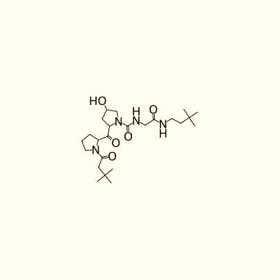 CC(C)(C)CCNC(=O)CNC(=O)N1CC(O)CC1C(=O)C1CCCN1C(=O)CC(C)(C)C